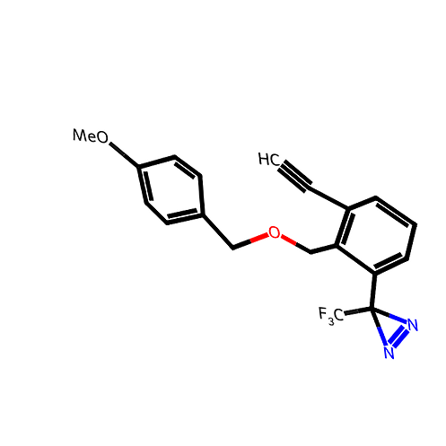 C#Cc1cccc(C2(C(F)(F)F)N=N2)c1COCc1ccc(OC)cc1